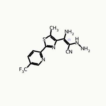 Cc1sc(-c2ccc(C(F)(F)F)cn2)nc1/C(N)=C(\C#N)NN